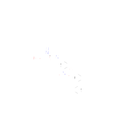 Cc1c(COc2ccc(CN3CCC[C@H]3C(=O)N[C@@H](C)CO)cc2[N+](=O)[O-])cccc1-c1ccccc1